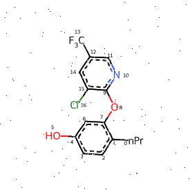 [CH2]CCc1ccc(O)cc1Oc1ncc(C(F)(F)F)cc1Cl